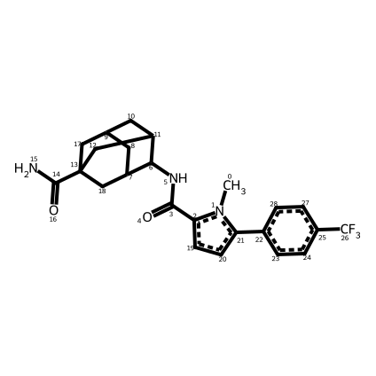 Cn1c(C(=O)NC2C3CC4CC2CC(C(N)=O)(C4)C3)ccc1-c1ccc(C(F)(F)F)cc1